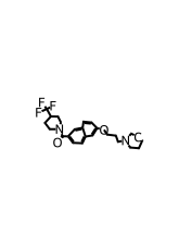 O=C(c1ccc2cc(OCCCN3CCCCC3)ccc2c1)N1CCC(C(F)(F)F)CC1